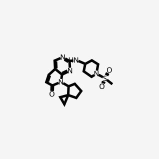 CS(=O)(=O)N1CCC(Nc2ncc3ccc(=O)n(C4CCCC45CC5)c3n2)CC1